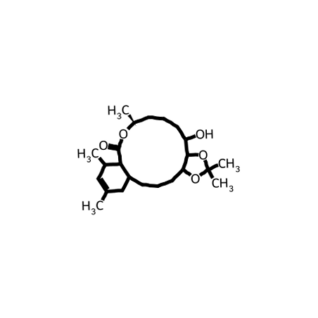 CC1=CC(C)C2C(=O)O[C@@H](C)CCCC(O)C3OC(C)(C)OC3CCCC2C1